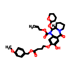 C=CCOC(=O)N1c2cc(OCCCC(=O)OCc3ccc(OC)cc3)c(O)cc2C(=O)N2CCCC[C@H]2C1OC1CCCCO1